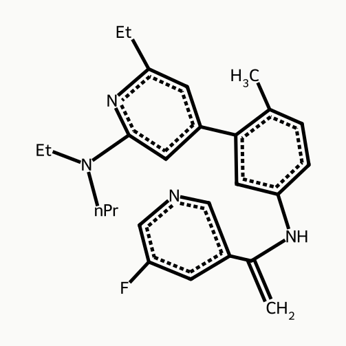 C=C(Nc1ccc(C)c(-c2cc(CC)nc(N(CC)CCC)c2)c1)c1cncc(F)c1